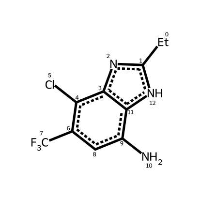 CCc1nc2c(Cl)c(C(F)(F)F)cc(N)c2[nH]1